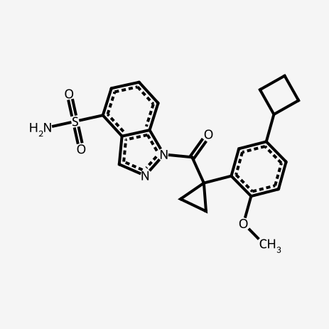 COc1ccc(C2CCC2)cc1C1(C(=O)n2ncc3c(S(N)(=O)=O)cccc32)CC1